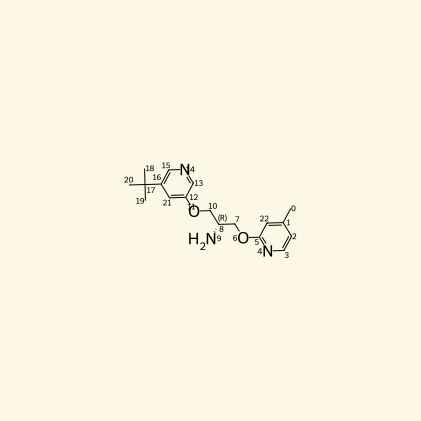 Cc1ccnc(OC[C@H](N)COc2cncc(C(C)(C)C)c2)c1